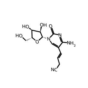 N#CC/C=C/c1cn([C@@H]2O[C@H](CO)[C@@H](O)[C@H]2O)c(=O)nc1N